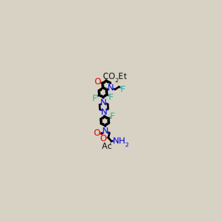 CCOC(=O)c1cn(CCF)c2c(F)c(N3CCN(c4ccc(N5CC([C@H](N)C(C)=O)OC5=O)cc4F)CC3)c(F)cc2c1=O